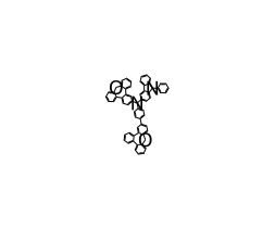 c1ccc(-n2c3ccccc3c3cc(N(c4ccc(-c5ccc6c(c5)-c5ccccc5-c5ccccc5O6)cc4)c4ccc5c(c4)-c4ccccc4Oc4ccccc4-5)ccc32)cc1